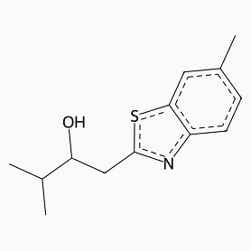 Cc1ccc2nc(CC(O)C(C)C)sc2c1